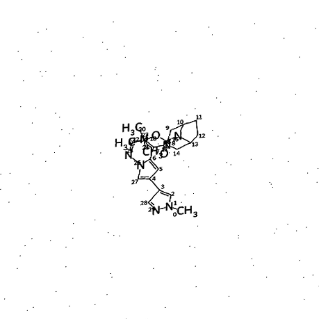 Cn1cc(-c2cc3c(N4CC5CCC(C4)N5C(=O)OC(C)(C)C)ncnn3c2)cn1